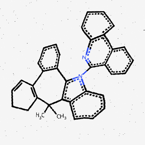 CC1(C)C2=C(C=CCC2)c2ccccc2-c2c1c1ccccc1n2-c1nc2ccccc2c2ccccc12